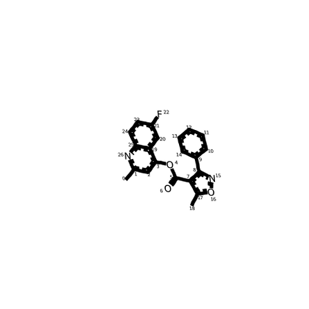 Cc1cc(OC(=O)c2c(-c3ccccc3)noc2C)c2cc(F)ccc2n1